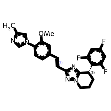 COc1cc(/C=C/c2nc3n(n2)CCC[C@H]3c2c(F)cc(F)cc2F)ccc1-n1cnc(C)c1